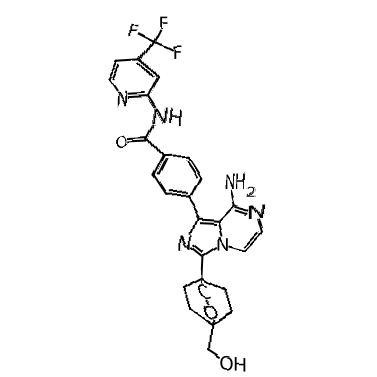 Nc1nccn2c(C34CCC(CO)(CC3)OC4)nc(-c3ccc(C(=O)Nc4cc(C(F)(F)F)ccn4)cc3)c12